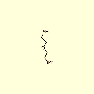 CC(C)CCOCCS